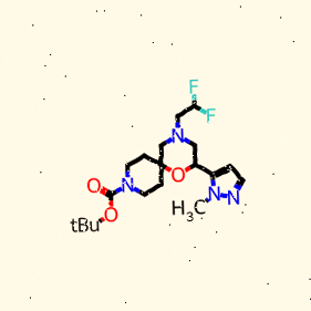 Cn1nccc1C1CN(CC(F)F)CC2(CCN(C(=O)OC(C)(C)C)CC2)O1